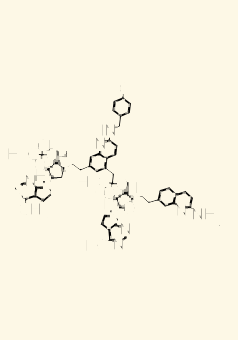 Cc1ncnc2c1ccn2[C@@H]1C[C@H](CCc2cc(CC3(C)O[C@@H]4[C@H](O3)[C@@H](CCc3ccc5ccc(N)nc5c3)O[C@H]4n3ccc4c(C)ncnc43)c3ccc(NCc4ccc(Cl)cc4)nc3c2)[C@H]2OC(C)(C)O[C@H]21